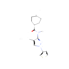 CC(C)N(c1nn(-c2ccsc2)cc1C(=O)O)C(=O)[C@H]1CC[C@H](C)CC1